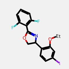 CCOc1cc(I)ccc1C1COC(c2c(F)cccc2F)=N1